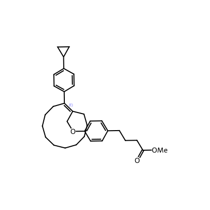 COC(=O)CCCc1ccc(OC/C2=C(/c3ccc(C4CC4)cc3)CCCCCCCCCC2)cc1